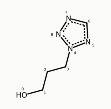 OCCCn1ncnn1